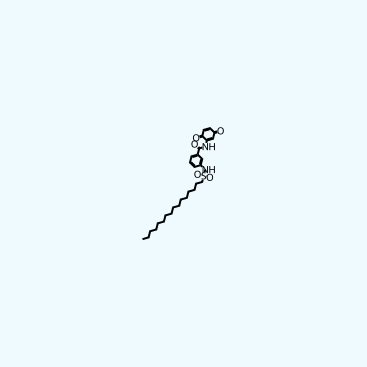 CCCCCCCCCCCCCCCCS(=O)(=O)Nc1cccc(C(=O)NC2=CC(=O)C=CC2=O)c1